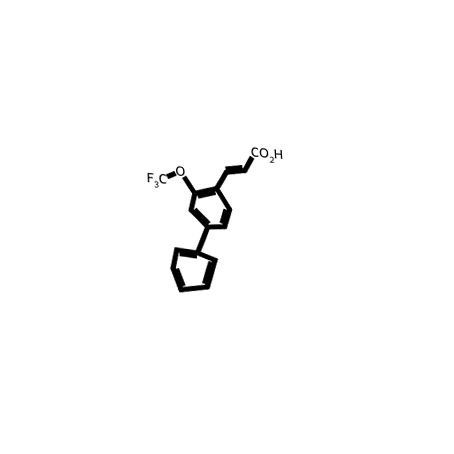 O=C(O)C=Cc1ccc(-c2ccccc2)cc1OC(F)(F)F